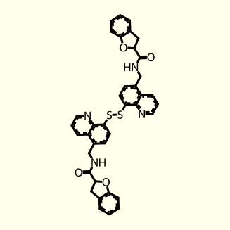 O=C(NCc1ccc(SSc2ccc(CNC(=O)C3Cc4ccccc4O3)c3cccnc23)c2ncccc12)C1Cc2ccccc2O1